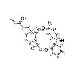 C=CC(=O)CCC1(C)CCCN2C(=O)COc3ccccc3[C@H]3CC[C@H](CC3)OCC21